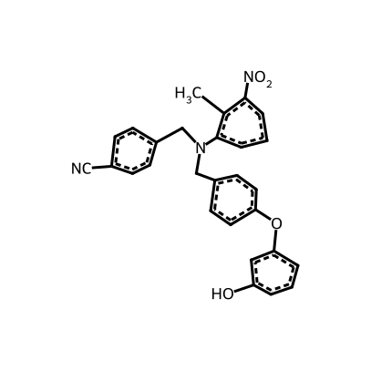 Cc1c(N(Cc2ccc(C#N)cc2)Cc2ccc(Oc3cccc(O)c3)cc2)cccc1[N+](=O)[O-]